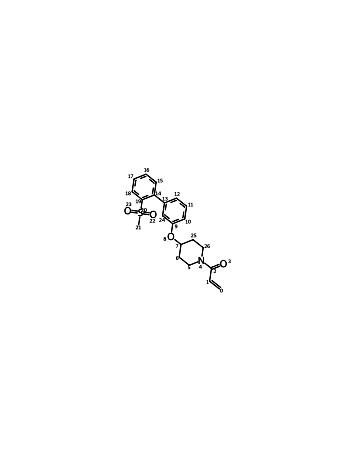 C=CC(=O)N1CCC(Oc2cccc(-c3ccccc3S(C)(=O)=O)c2)CC1